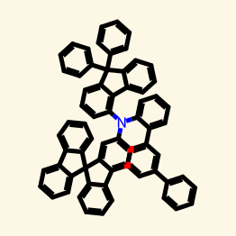 c1ccc(-c2cccc(-c3ccccc3N(c3ccc4c(c3)C3(c5ccccc5-c5ccccc53)c3ccccc3-4)c3cccc4c3-c3ccccc3C4(c3ccccc3)c3ccccc3)c2)cc1